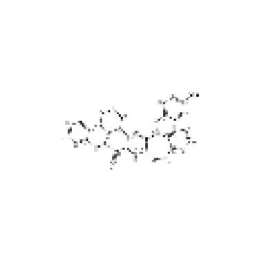 CC(C)c1ccc(CN2C(=O)C(N[C@@H](CC3CCCCC3)C(=O)OCc3ccccc3)COc3ccccc32)cc1